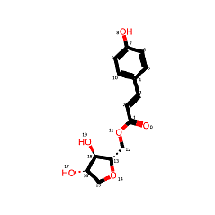 O=C(/C=C/c1ccc(O)cc1)OC[C@@H]1O[CH][C@H](O)[C@H]1O